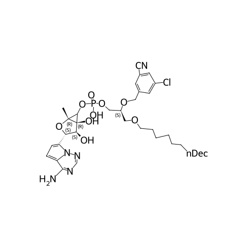 CCCCCCCCCCCCCCCCOC[C@@H](COP(=O)(O)OC1[C@@]2(C)O[C@@H](c3ccc4c(N)ncnn34)[C@H](O)[C@@]12O)OCc1cc(Cl)cc(C#N)c1